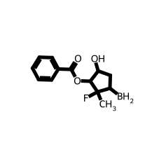 BC1CC(O)C(OC(=O)c2ccccc2)C1(C)F